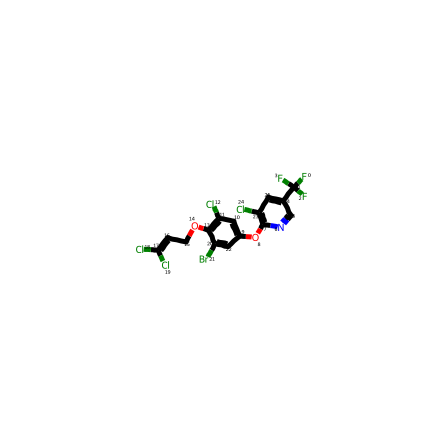 FC(F)(F)c1cnc(Oc2cc(Cl)c(OCC=C(Cl)Cl)c(Br)c2)c(Cl)c1